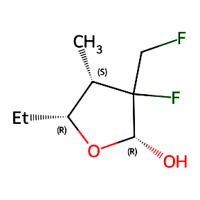 CC[C@H]1O[C@@H](O)C(F)(CF)[C@H]1C